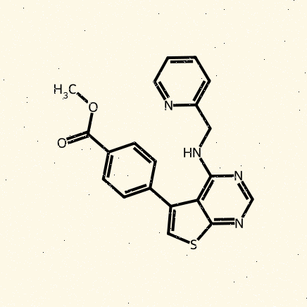 COC(=O)c1ccc(-c2csc3ncnc(NCc4ccccn4)c23)cc1